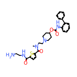 CN(CCN1CCC(OC(=O)Nc2ccccc2-c2ccccc2)CC1)C(=O)c1ccc(C(=O)NCCN)s1